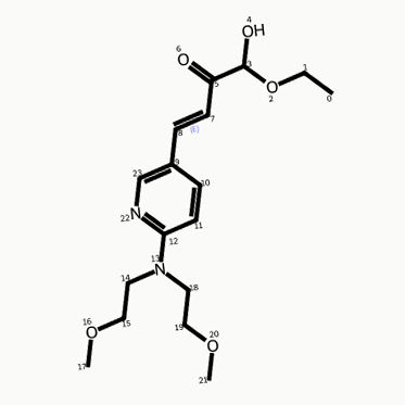 CCOC(O)C(=O)/C=C/c1ccc(N(CCOC)CCOC)nc1